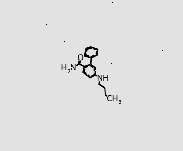 CCCCNc1ccc(C(N)=O)c(-c2ccccc2)c1